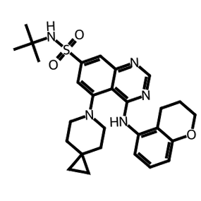 CC(C)(C)NS(=O)(=O)c1cc(N2CCC3(CC2)CC3)c2c(Nc3cccc4c3CCCO4)ncnc2c1